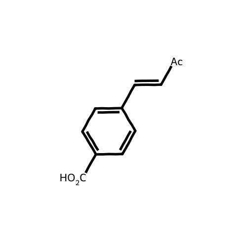 CC(=O)C=Cc1ccc(C(=O)O)cc1